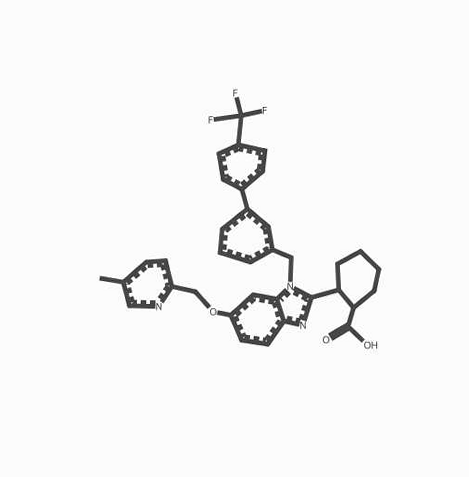 Cc1ccc(COc2ccc3nc(C4CCCCC4C(=O)O)n(Cc4cccc(-c5ccc(C(F)(F)F)cc5)c4)c3c2)nc1